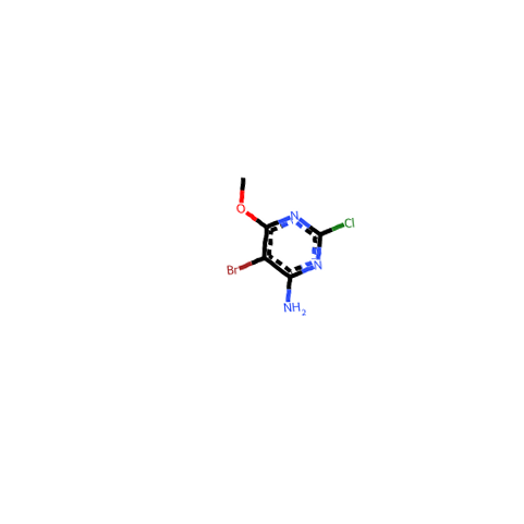 COc1nc(Cl)nc(N)c1Br